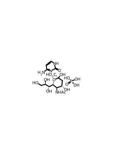 CC(=O)N[C@H]1[C@H]([C@H](O)[C@H](O)CO)O[C@](O)(C(=O)O)C[C@@H]1O.Nc1cc[nH]c(=O)n1.O=P(O)(O)O